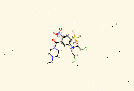 CCN1CCN(C(=O)c2cc(N(CCCl)CCCl)c(S(C)(=O)=O)cc2[N+](=O)[O-])CC1